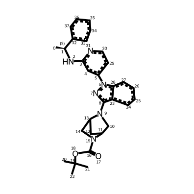 C[C@H](Nc1cc(-n2nc(N3CC4CC3CN4C(=O)OC(C)(C)C)c3ccccc32)ccn1)c1ccccc1